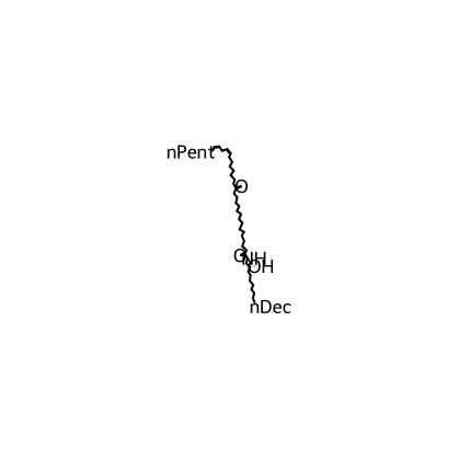 CCCCC/C=C\C/C=C\CCCCCCCC(=O)CCCCCCCCCCCCCCC(=O)NC[C@H](O)CCCCCCCCCCCCCCCCCC